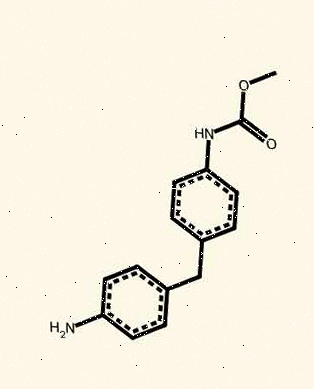 COC(=O)Nc1ccc(Cc2ccc(N)cc2)cc1